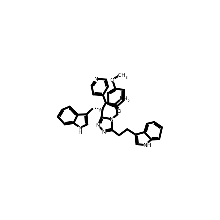 COc1ccc(Cn2c(CCc3c[nH]c4ccccc34)nnc2[C@H](Cc2c[nH]c3ccccc23)C(C(N)=O)c2ccncc2)cc1